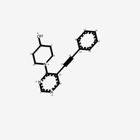 OC1CCN(c2ncncc2C#Cc2ccccc2)CC1